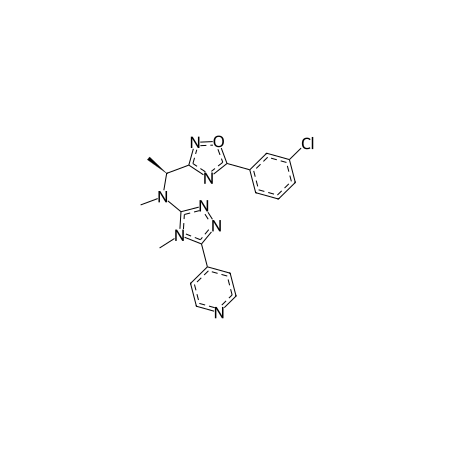 C[C@@H](c1noc(-c2cccc(Cl)c2)n1)N(C)c1nnc(-c2ccncc2)n1C